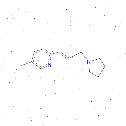 Cc1ccc(/C=C/CN2CCCC2)nc1